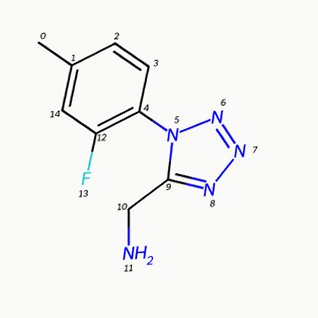 Cc1ccc(-n2nnnc2CN)c(F)c1